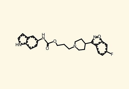 O=C(Nc1ccc2[nH]ccc2c1)OCCCN1CCC(c2noc3cc(F)ccc23)CC1